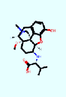 CO[C@@]12CC[C@H](N[C@@H](C(=O)O)C(C)C)[C@@H]3Oc4c(O)ccc5c4[C@@]31CCN(C)[C@@H]2C5